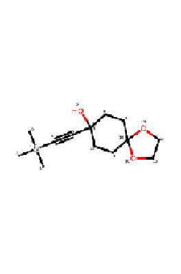 C[Si](C)(C)C#CC1(O)CCC2(CC1)OCCO2